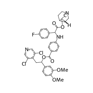 COc1ccc(C(Cc2c(Cl)cncc2Cl)OC(=O)c2ccc(NC(C(=O)O[C@H]3CN4CCC3CC4)c3ccc(F)cc3)cc2)cc1OC